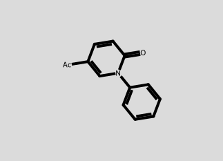 CC(=O)c1ccc(=O)n(-c2ccccc2)c1